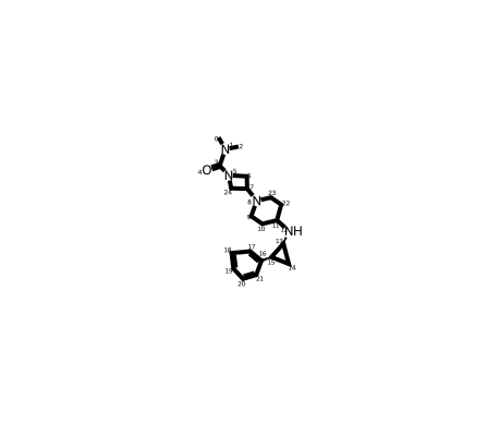 CN(C)C(=O)N1CC(N2CCC(N[C@@H]3C[C@H]3c3ccccc3)CC2)C1